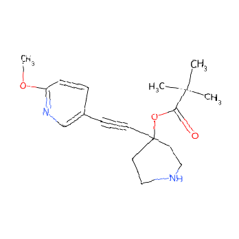 COc1ccc(C#CC2(OC(=O)C(C)(C)C)CCNCC2)cn1